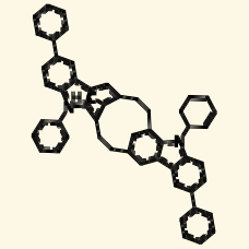 Cc1c2cc3c4cc(-c5ccccc5)ccc4n(-c4ccccc4)c3c1CCc1cc(c3c(c1)c1cc(-c4ccccc4)ccc1n3C1C=CC=CC1)CC2